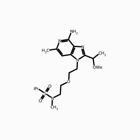 COC(C)c1nc2c(N)nc(C)cc2n1CCOCCN(C)S(=O)(=O)C(C)C